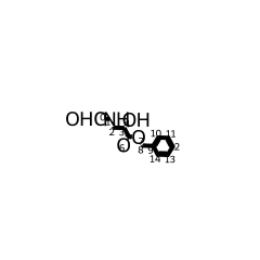 O=CNCC(O)C(=O)OCc1ccccc1